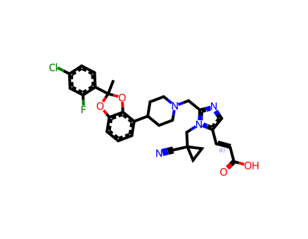 CC1(c2ccc(Cl)cc2F)Oc2cccc(C3CCN(Cc4ncc(/C=C/C(=O)O)n4CC4(C#N)CC4)CC3)c2O1